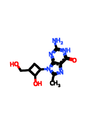 Cc1nc2c(=O)[nH]c(N)nc2n1C1CC(CO)C1O